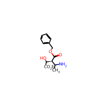 CCOC(=O)C(O)[C@@H](C(=O)OCc1ccccc1)C(C)N